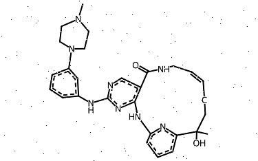 CN1CCN(c2cccc(Nc3ncc4c(n3)Nc3cccc(n3)C(C)(O)CC/C=C\CNC4=O)c2)CC1